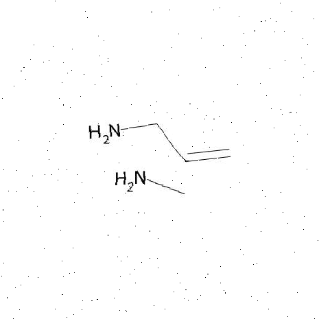 C=CCN.CN